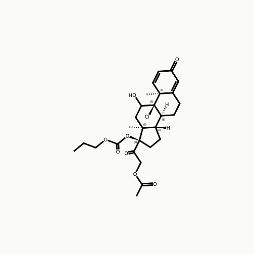 CCCOC(=O)O[C@]1(C(=O)COC(C)=O)CC[C@H]2[C@@H]3CCC4=CC(=O)C=C[C@]4(C)[C@@]3(Cl)C(O)C[C@@]21C